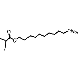 CCCCCCCCCCCCCCCCCCCOC(=O)C(C)I